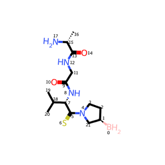 B[C@@H]1CCN(C(=S)[C@@H](NC(=O)CNC(=O)[C@@H](C)N)C(C)C)C1